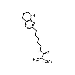 CON(C)C(=O)CCCCCCc1ccc2c(n1)NCCC2